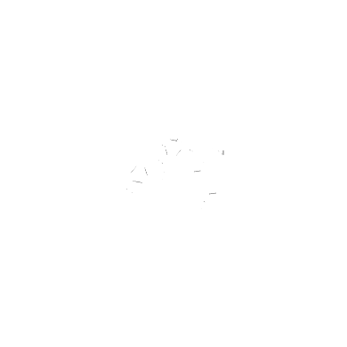 NC(=O)COC(=O)C1(CNc2ncnc(N(Cc3ccc(C(F)(F)F)cc3)C3CC3)c2F)CCNCC1